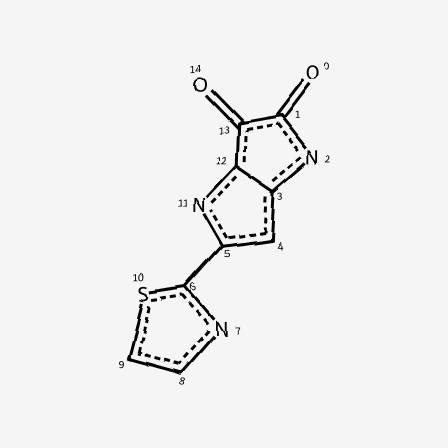 O=c1nc2cc(-c3nccs3)nc-2c1=O